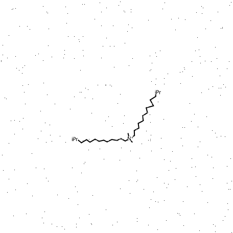 CC(C)CCCCCCCCCCC[N+](C)(C)CCCCCCCCCCCC(C)C